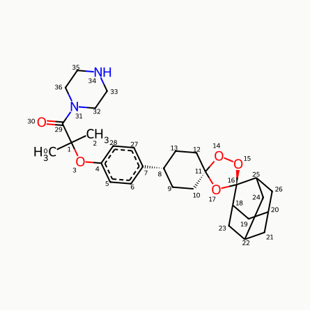 CC(C)(Oc1ccc([C@H]2CC[C@]3(CC2)OO[C@]2(O3)C3CC4CC(C3)CC2C4)cc1)C(=O)N1CCNCC1